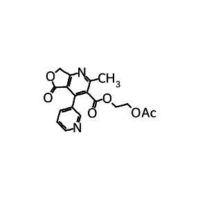 CC(=O)OCCOC(=O)c1c(C)nc2c(c1-c1cccnc1)C(=O)OC2